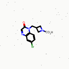 O=C(O)N1CC(Cn2c(=O)cnc3cc(Br)ccc32)C1